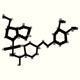 CCOc1ccc(S(=O)(=O)NC(C)N2CCN(CCc3ccc(OC)c(OC)c3)CC2)c2cccnc12